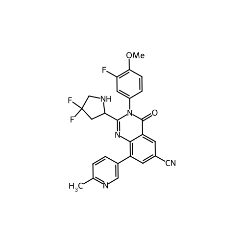 COc1ccc(-n2c(C3CC(F)(F)CN3)nc3c(-c4ccc(C)nc4)cc(C#N)cc3c2=O)cc1F